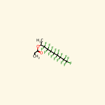 C=CC(=O)OC(C)C(F)(F)C(F)(F)C(F)(F)C(F)(F)C(F)(F)C(F)(F)C(F)(F)C(F)(F)F